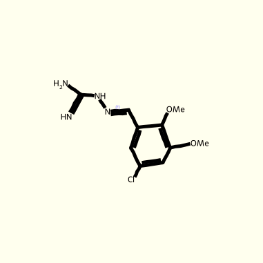 COc1cc(Cl)cc(/C=N/NC(=N)N)c1OC